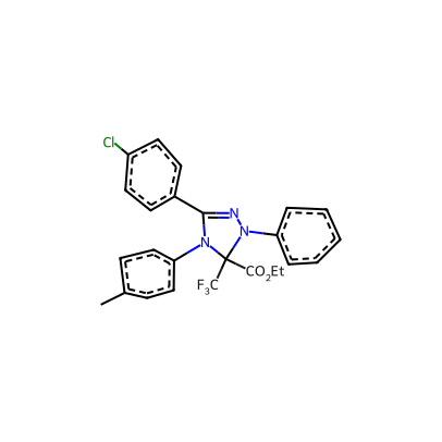 CCOC(=O)C1(C(F)(F)F)N(c2ccccc2)N=C(c2ccc(Cl)cc2)N1c1ccc(C)cc1